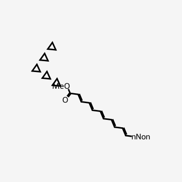 C1CC1.C1CC1.C1CC1.C1CC1.C1CC1.CCCCCCCCCC=CC=CC=CC=CC=CC(=O)OC